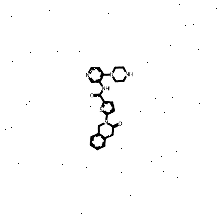 O=C(Nc1cnccc1N1CCNCC1)c1ccc(N2Cc3ccccc3CC2=O)s1